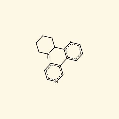 [c]1cccc(-c2cccnc2)c1C1CCCCN1